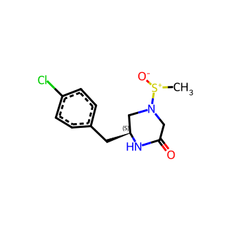 C[S+]([O-])N1CC(=O)N[C@@H](Cc2ccc(Cl)cc2)C1